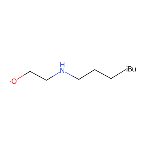 CCC(C)CCCNCC[O]